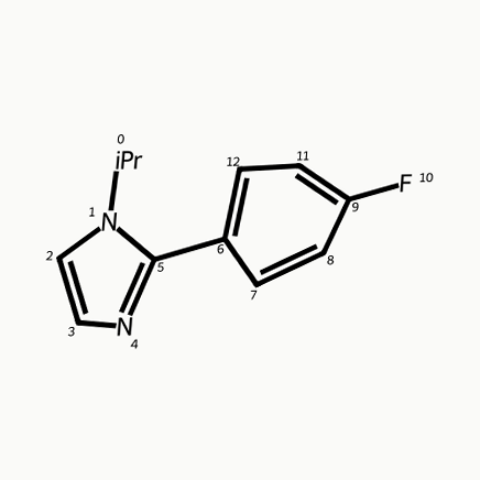 CC(C)n1ccnc1-c1ccc(F)cc1